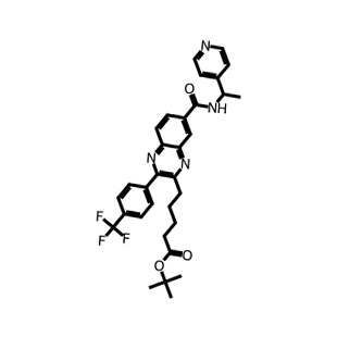 CC(NC(=O)c1ccc2nc(-c3ccc(C(F)(F)F)cc3)c(CCCCC(=O)OC(C)(C)C)nc2c1)c1ccncc1